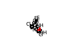 CC(C)(CO)C[C@@H]1N[C@@H](C(=O)OC(=O)C(F)(F)F)[C@H](c2cccc(Cl)c2F)[C@@]1(C#N)c1ccc(Cl)cc1F